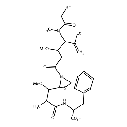 C=C(CC)C(C(CC(=O)N1CSC1C(OC)C(C)C(=O)NC(Cc1ccccc1)C(=O)O)OC)N(C)C(=O)CC(C)C